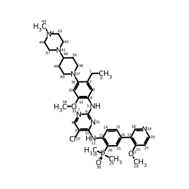 CCc1cc(Nc2ncc(Cl)c(Nc3ccc(-c4cnccc4OC)cc3P(C)(C)=O)n2)c(OC)cc1N1CCC(N2CCN(C)CC2)CC1